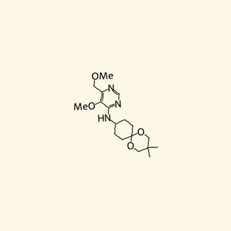 COCc1ncnc(NC2CCC3(CC2)OCC(C)(C)CO3)c1OC